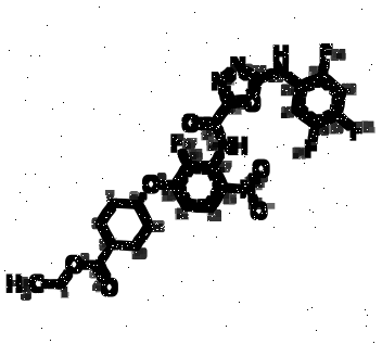 CCOC(=O)[C@H]1CC[C@H](Oc2ccc([N+](=O)[O-])c(NC(=O)c3nnc(Nc4cc(F)c(F)cc4F)o3)c2F)CC1